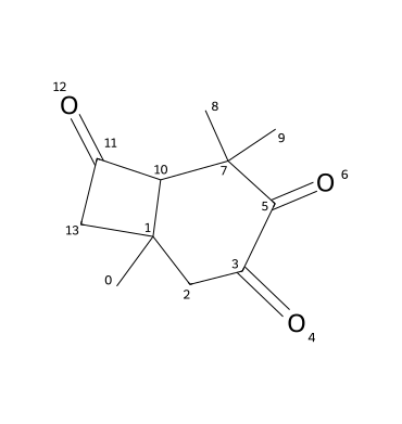 CC12CC(=O)C(=O)C(C)(C)C1C(=O)C2